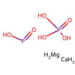 O=P(O)(O)O.O=PO.[CaH2].[MgH2]